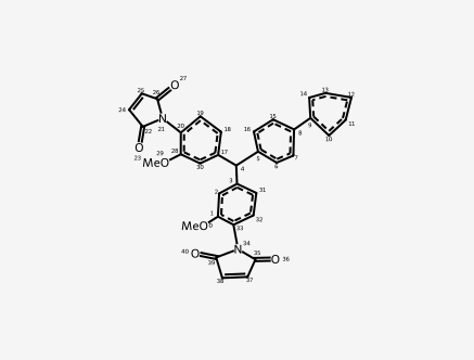 COc1cc(C(c2ccc(-c3ccccc3)cc2)c2ccc(N3C(=O)C=CC3=O)c(OC)c2)ccc1N1C(=O)C=CC1=O